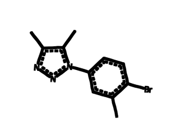 Cc1cc(-n2nnc(C)c2C)ccc1Br